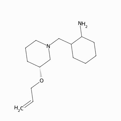 C=CCO[C@@H]1CCCN(CC2CCCCC2N)C1